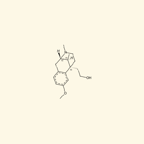 COc1ccc2c(c1)[C@]1(CCO)CCN(C)[C@@H](C2)[C@H]1C